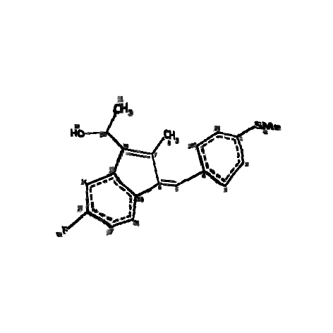 CSc1ccc(C=C2C(C)=C(C(C)O)c3cc(F)ccc32)cc1